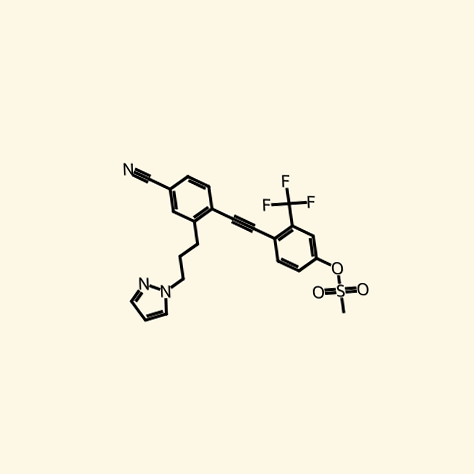 CS(=O)(=O)Oc1ccc(C#Cc2ccc(C#N)cc2CCCn2cccn2)c(C(F)(F)F)c1